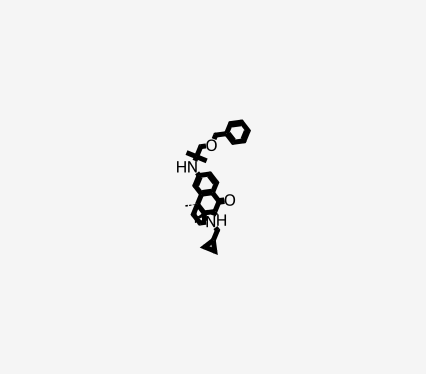 C[C@H]1[C@H]2C(=O)c3ccc(NC(C)(C)COCc4ccccc4)cc3[C@]1(C)CCN2CC1CC1